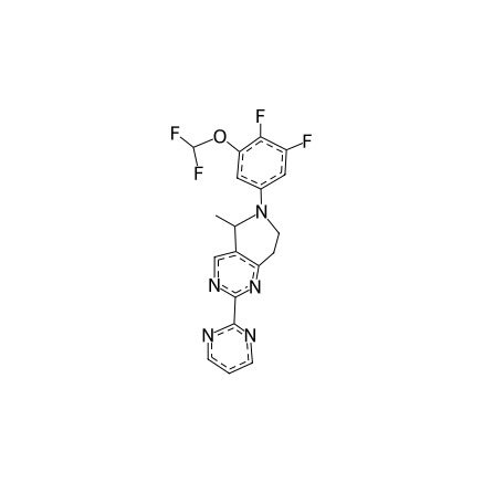 CC1c2cnc(-c3ncccn3)nc2CCN1c1cc(F)c(F)c(OC(F)F)c1